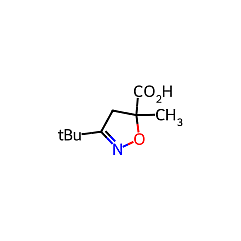 CC(C)(C)C1=NOC(C)(C(=O)O)C1